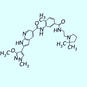 COc1nn(C)cc1-c1cc2cc(C(=O)Nc3cc(C(=O)NCCN4CCCC4(C)C)ccc3C)cnc2[nH]1